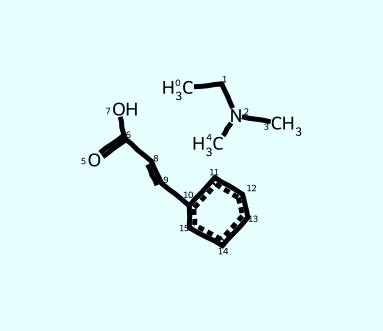 CCN(C)C.O=C(O)C=Cc1ccccc1